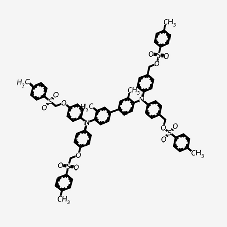 Cc1ccc(S(=O)(=O)COc2ccc(N(c3ccc(OCS(=O)(=O)c4ccc(C)cc4)cc3)c3ccc(-c4ccc(N(c5ccc(COS(=O)(=O)c6ccc(C)cc6)cc5)c5ccc(COS(=O)(=O)c6ccc(C)cc6)cc5)c(C)c4)cc3C)cc2)cc1